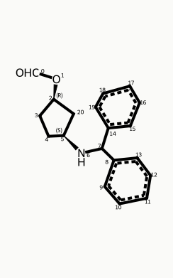 O=CO[C@@H]1CC[C@H](NC(c2ccccc2)c2ccccc2)C1